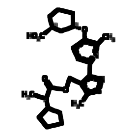 Cc1nc(-c2nsc(C)c2COC(=O)N(C)C2CCCC2)ccc1O[C@H]1CCC[C@H](C(=O)O)C1